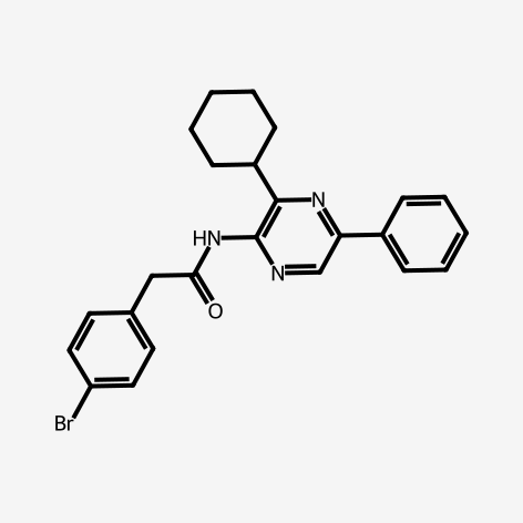 O=C(Cc1ccc(Br)cc1)Nc1ncc(-c2ccccc2)nc1C1CCCCC1